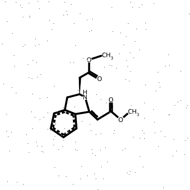 COC(=O)C=C1N[C@H](CC(=O)OC)Cc2ccccc21